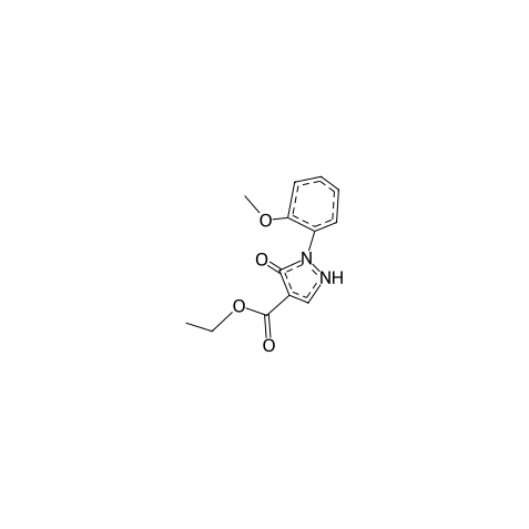 CCOC(=O)c1c[nH]n(-c2ccccc2OC)c1=O